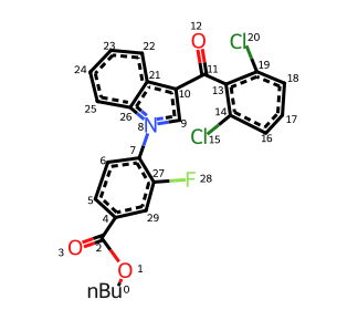 CCCCOC(=O)c1ccc(-n2cc(C(=O)c3c(Cl)cccc3Cl)c3ccccc32)c(F)c1